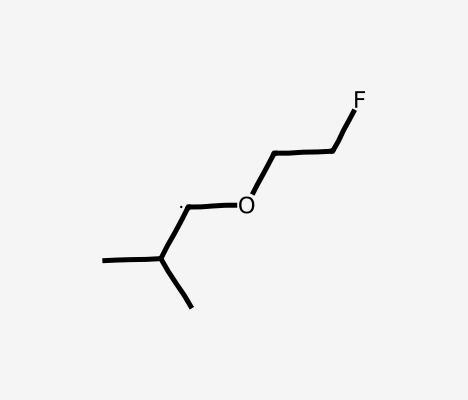 CC(C)[CH]OCCF